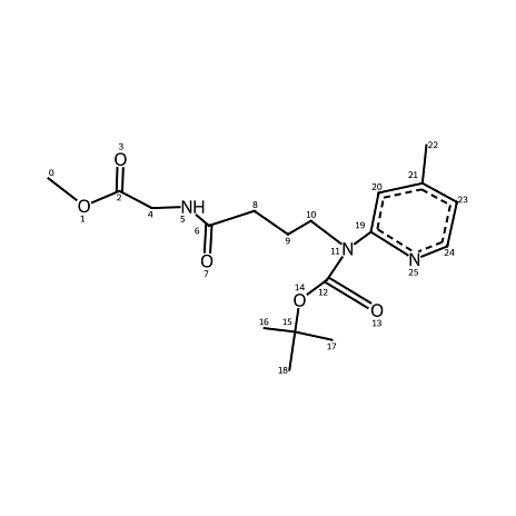 COC(=O)CNC(=O)CCCN(C(=O)OC(C)(C)C)c1cc(C)ccn1